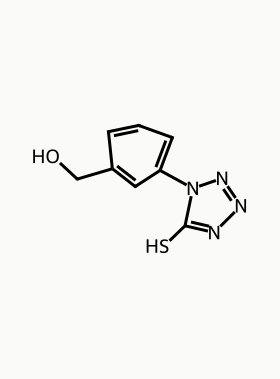 OCc1cccc(-n2nnnc2S)c1